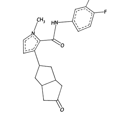 Cn1ccc(C2CC3CC(=O)CC3C2)c1C(=O)Nc1ccc(F)c(Cl)c1